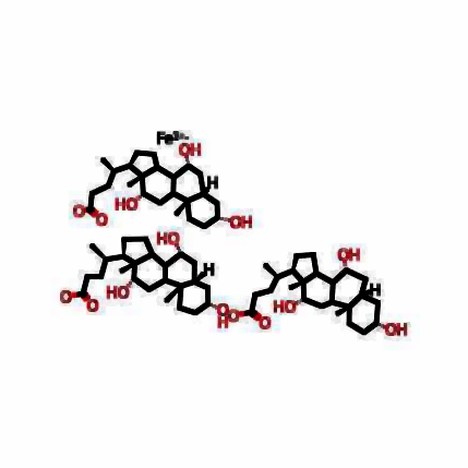 C[C@H](CCC(=O)[O-])[C@H]1CCC2C3C(C[C@H](O)[C@@]21C)[C@@]1(C)CC[C@@H](O)C[C@H]1C[C@H]3O.C[C@H](CCC(=O)[O-])[C@H]1CCC2C3C(C[C@H](O)[C@@]21C)[C@@]1(C)CC[C@@H](O)C[C@H]1C[C@H]3O.C[C@H](CCC(=O)[O-])[C@H]1CCC2C3C(C[C@H](O)[C@@]21C)[C@@]1(C)CC[C@@H](O)C[C@H]1C[C@H]3O.[Fe+3]